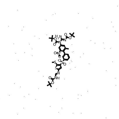 CSc1sc(N=CNC(=O)OC(C)(C)C)cc1S(=O)(=O)c1cccc(-c2c(C)cc(N(C(=O)OC(C)(C)C)C(N)=NC(=O)OC(C)(C)C)cc2[N+](=O)[O-])c1